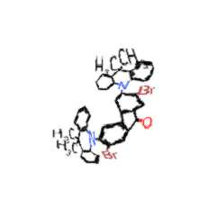 CC1(C)C2=CCCC=C2N(c2cc3c(cc2Br)C(=O)c2cc(Br)c(N4C5=C(C=C=C=C5)C(C)(C)c5ccccc54)cc2-3)c2ccccc21